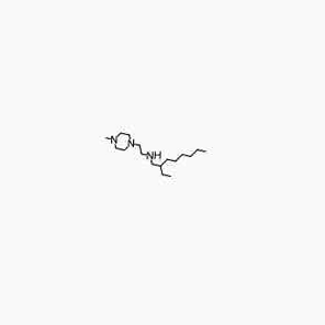 CCCCCCC(CC)CNCCN1CCN(C)CC1